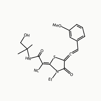 CCn1c(=O)c(=C=Cc2cccc(OC)c2)s/c1=C(/C#N)C(=O)NC(C)(C)CO